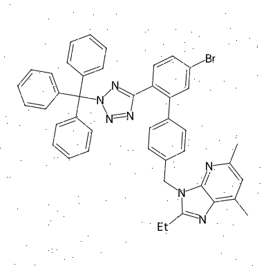 CCc1nc2c(C)cc(C)nc2n1Cc1ccc(-c2cc(Br)ccc2-c2nnn(C(c3ccccc3)(c3ccccc3)c3ccccc3)n2)cc1